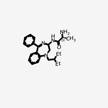 CCC(CC)CN1CC(NC(=O)[C@H](C)N)N=C(c2ccccc2)c2ccccc21